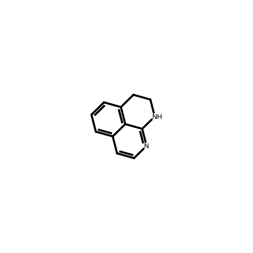 c1cc2c3c(nccc3c1)NCC2